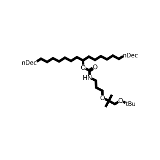 CCCCCCCCCCCCCCCCCC(CCCCCCCCCCCCCCCC)OC(=O)NCCCOC(C)(C)COC(C)(C)C